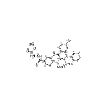 COC(=O)c1c(-c2ccccc2)c2cc(Br)ccc2c(=O)n1Cc1ccc(C(=O)NNC(=O)OC(C)(C)C)cc1